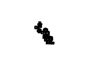 CNC(=O)[C@H]1CCCC[C@H]1C(=O)N1CCc2cccc(O[C@H]3CCN(C(=O)c4cncs4)C3)c2C1CNC(C)=O